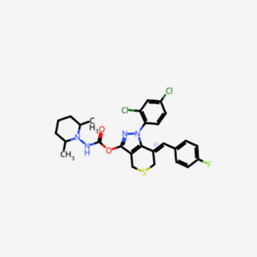 CC1CCCC(C)N1NC(=O)Oc1nn(-c2ccc(Cl)cc2Cl)c2c1CSC/C2=C\c1ccc(F)cc1